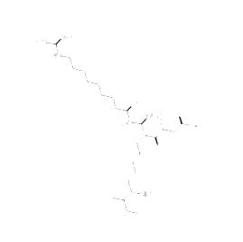 CCC(C)[C@H](N)CCCCCN(C(=N)NC(=O)CCCCCCCCNC(=N)N)C(=O)[C@@H](N)CC(=O)O